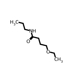 CCCNC(=O)CCCOCC